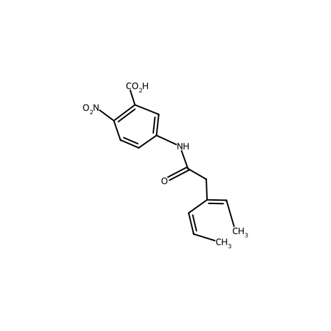 C/C=C\C(=C/C)CC(=O)Nc1ccc([N+](=O)[O-])c(C(=O)O)c1